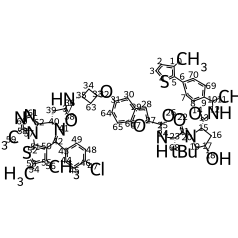 Cc1ccsc1-c1ccc(C(C)NC(=O)[C@@H]2C[C@@H](O)CN2C(=O)[C@@H](NC(=O)c2cc3cc(O[C@H]4C[C@@H](NC(=O)C[C@@H]5N=C(c6ccc(Cl)cc6)c6c(sc(C)c6C)-n6c(C)nnc65)C4)ccc3o2)C(C)(C)C)cc1